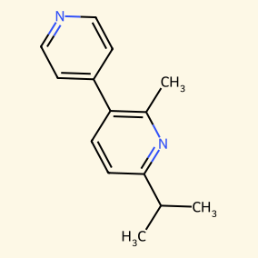 Cc1nc(C(C)C)ccc1-c1ccncc1